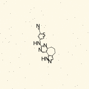 N#Cc1cc(Nc2ncc3c(n2)CCCc2cn[nH]c2-3)cs1